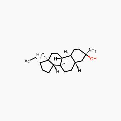 CC(=O)C[C@H]1CC[C@H]2[C@@H]3CC[C@H]4C[C@](C)(O)CC[C@@H]4[C@H]3CC[C@]12C